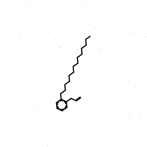 C=CCc1ccccc1CCCCCCCCCCCCCC